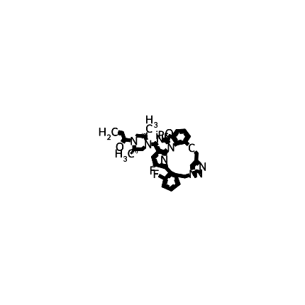 C=CC(=O)N1C[C@H](C)N(c2nc(=O)n3c4nc(c(F)cc24)-c2c(F)cccc2Cn2cc(nn2)CCc2cccc(C(C)C)c2-3)C[C@H]1C